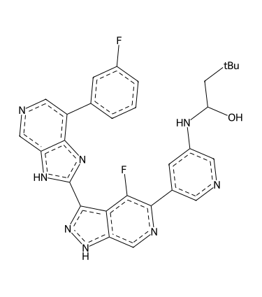 CC(C)(C)CC(O)Nc1cncc(-c2ncc3[nH]nc(-c4nc5c(-c6cccc(F)c6)cncc5[nH]4)c3c2F)c1